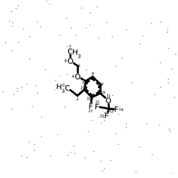 CCc1c(OCOC)ccc(OC(F)(F)F)c1F